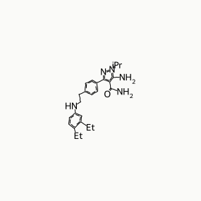 CCc1ccc(NCCc2ccc(-c3nn(C(C)C)c(N)c3C(N)=O)cc2)cc1CC